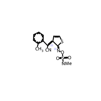 CNS(=O)(=O)O/N=C1\SC=C\C1=C(\C#N)c1ccccc1C